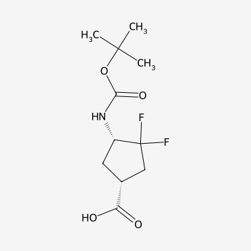 CC(C)(C)OC(=O)N[C@H]1C[C@@H](C(=O)O)CC1(F)F